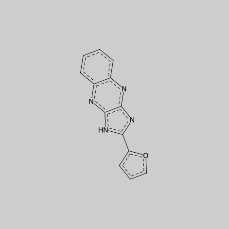 c1coc(-c2nc3nc4ccccc4nc3[nH]2)c1